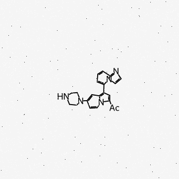 CC(=O)c1cc(-c2cccc3nccn23)c2cc(N3CCNCC3)ccn12